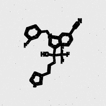 N#Cc1ccc2c(C(O)(CC=Cc3ccsc3)C(F)(F)F)cn(Cc3cccc(F)c3)c2c1